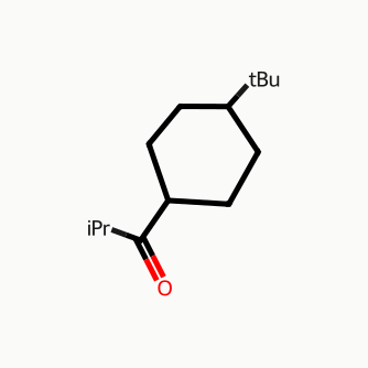 CC(C)C(=O)C1CCC(C(C)(C)C)CC1